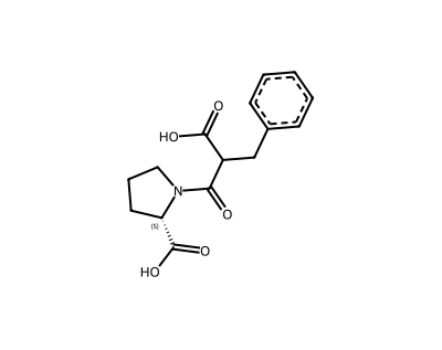 O=C(O)C(Cc1ccccc1)C(=O)N1CCC[C@H]1C(=O)O